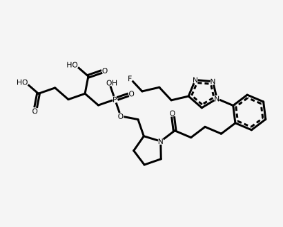 O=C(O)CCC(CP(=O)(O)OCC1CCCN1C(=O)CCCc1ccccc1-n1cc(CCCF)nn1)C(=O)O